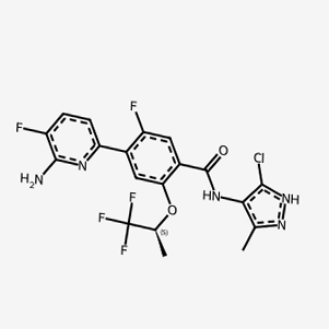 Cc1n[nH]c(Cl)c1NC(=O)c1cc(F)c(-c2ccc(F)c(N)n2)cc1O[C@@H](C)C(F)(F)F